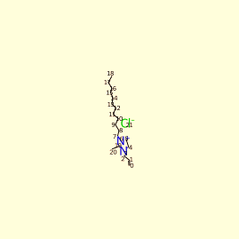 C=CCN1CC[N+](CCCCCCCCCCCC)=C1C.[Cl-]